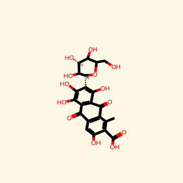 Cc1c(C(=O)O)c(O)cc2c1C(=O)c1c(O)c([C@H]3OC(CO)C(O)[C@@H](O)C3O)c(O)c(O)c1C2=O